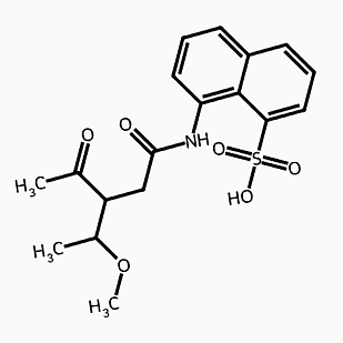 COC(C)C(CC(=O)Nc1cccc2cccc(S(=O)(=O)O)c12)C(C)=O